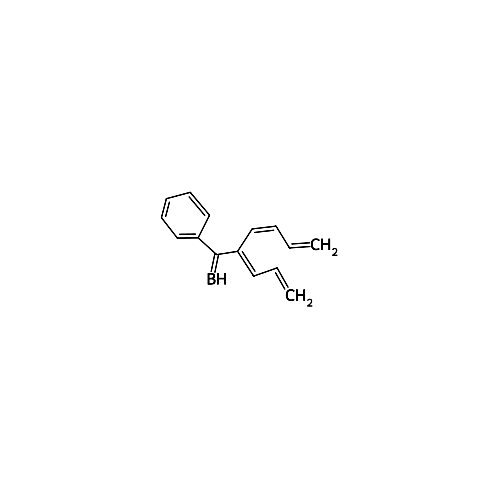 B=C(C(/C=C\C=C)=C/C=C)c1ccccc1